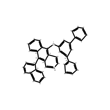 c1ccc(-c2cc(Oc3c4ccccc4c(-c4cccc5ccccc45)c4cnccc34)cc(-c3ccccc3)c2)cc1